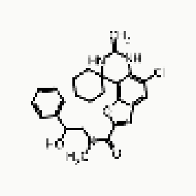 C=C1Nc2c(Cl)cc3cc(C(=O)N(C)CC(O)c4ccccc4)oc3c2C2(CCCCC2)N1